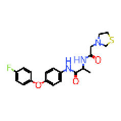 CC(NC(=O)CN1CCSC1)C(=O)Nc1ccc(Oc2ccc(F)cc2)cc1